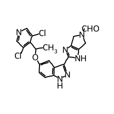 CC(Oc1ccc2[nH]nc(-c3nc4c([nH]3)CN(C=O)C4)c2c1)c1c(Cl)cncc1Cl